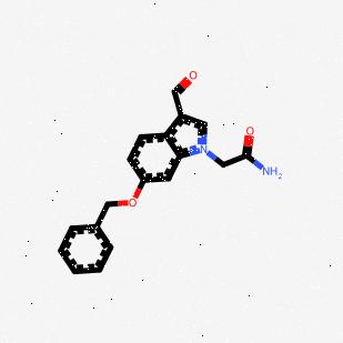 NC(=O)Cn1cc(C=O)c2ccc(OCc3ccccc3)cc21